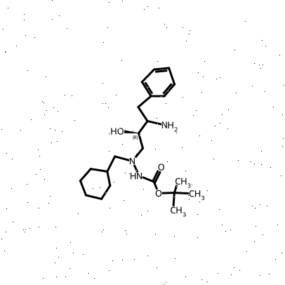 CC(C)(C)OC(=O)NN(CC1CCCCC1)C[C@@H](O)C(N)Cc1ccccc1